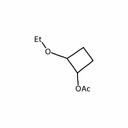 CCOC1CCC1OC(C)=O